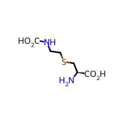 N[C@@H](CSCCNC(=O)O)C(=O)O